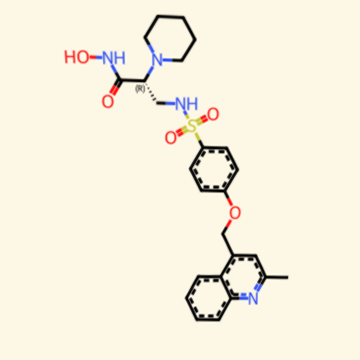 Cc1cc(COc2ccc(S(=O)(=O)NC[C@H](C(=O)NO)N3CCCCC3)cc2)c2ccccc2n1